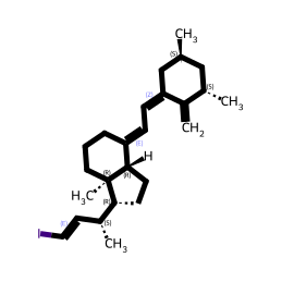 C=C1/C(=C\C=C2/CCC[C@]3(C)[C@@H]([C@H](C)/C=C/I)CC[C@@H]23)C[C@@H](C)C[C@@H]1C